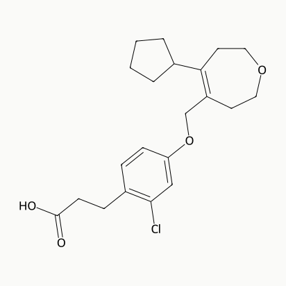 O=C(O)CCc1ccc(OCC2=C(C3CCCC3)CCOCC2)cc1Cl